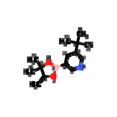 C=C1OB(c2cncc(C(C)(C)C#N)c2)OC1(C)C